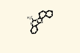 Cc1nc2ccccc2c2nc3c4ccccc4ccc3n12